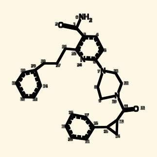 NC(=O)c1ccc(N2CCN(C(=O)C3CC3c3ccccc3)CC2)nc1CCCc1ccccc1